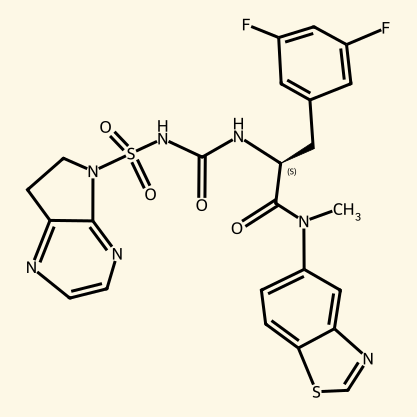 CN(C(=O)[C@H](Cc1cc(F)cc(F)c1)NC(=O)NS(=O)(=O)N1CCc2nccnc21)c1ccc2scnc2c1